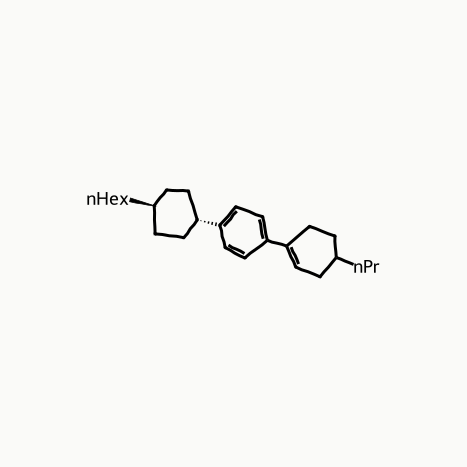 CCCCCC[C@H]1CC[C@H](c2ccc(C3=CCC(CCC)CC3)cc2)CC1